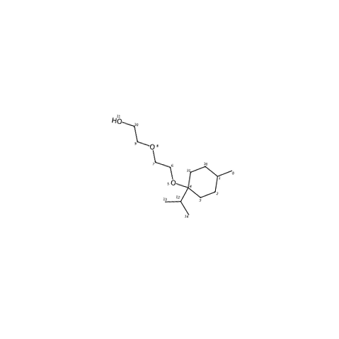 CC1CCC(OCCOCCO)(C(C)C)CC1